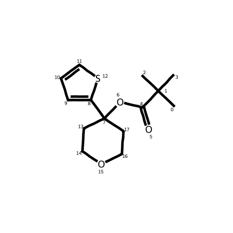 CC(C)(C)C(=O)OC1(c2cccs2)CCOCC1